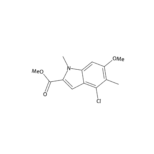 COC(=O)c1cc2c(Cl)c(C)c(OC)cc2n1C